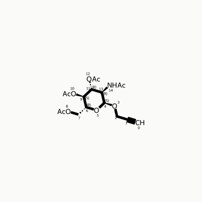 C#CCO[C@H]1O[C@H](COC(C)=O)[C@@H](OC(C)=O)[C@H](OC(C)=O)[C@H]1NC(C)=O